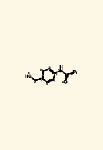 CC(C)C(=O)Nc1ccc(CO)cc1